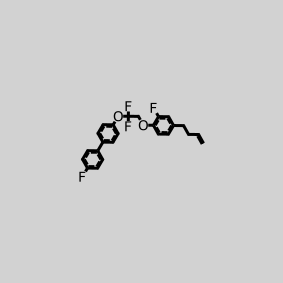 C=CCCc1ccc(OCC(F)(F)Oc2ccc(-c3ccc(F)cc3)cc2)c(F)c1